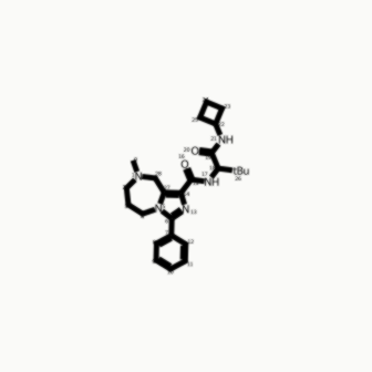 CN1CCCn2c(-c3ccccc3)nc(C(=O)NC(C(=O)NC3CCC3)C(C)(C)C)c2C1